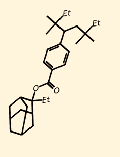 CCC(C)(C)CC(c1ccc(C(=O)OC2(CC)C3CC4CC(C3)CC2C4)cc1)C(C)(C)CC